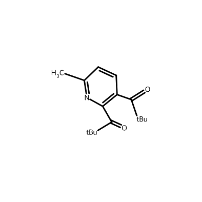 Cc1ccc(C(=O)C(C)(C)C)c(C(=O)C(C)(C)C)n1